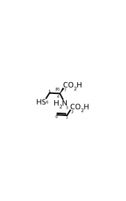 C=CC(=O)O.N[C@@H](CS)C(=O)O